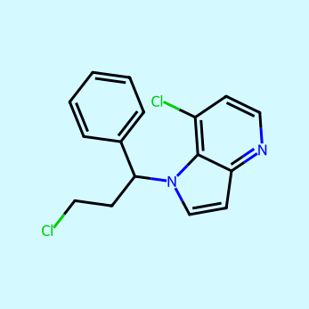 ClCCC(c1ccccc1)n1ccc2nccc(Cl)c21